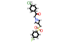 O=C(CN1CC(CS(=O)(=O)c2ccc(F)cc2)C1)c1ccc(Cl)cc1